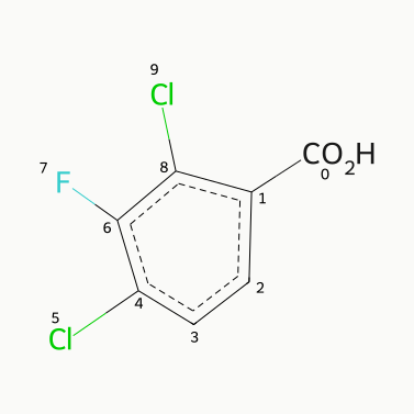 O=C(O)c1ccc(Cl)c(F)c1Cl